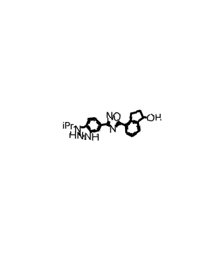 CC(C)N1NNc2cc(-c3noc(-c4cccc5c4CCC5O)n3)ccc21